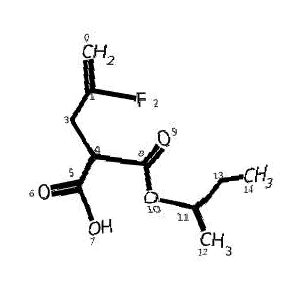 C=C(F)CC(C(=O)O)C(=O)OC(C)CC